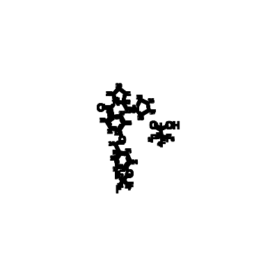 O=C(O)C(F)(F)F.O=C(c1ccc(OCc2ccc(OC(F)(F)F)cc2)cc1)N1CCCC1CN1CCCC1